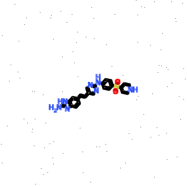 Nc1nc2ccc(C=Cc3cnc(Nc4ccc(S(=O)(=O)C5CCNCC5)cc4)nc3)cc2[nH]1